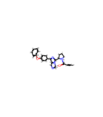 CC#CC(=O)N1CCCC1c1nc(-c2ccc(Oc3ccccc3)cc2)c2cnccn12